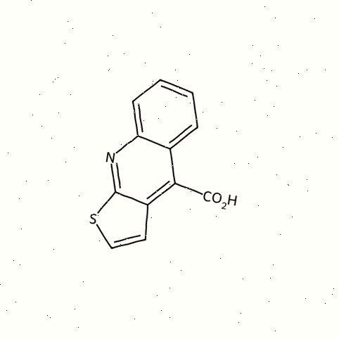 O=C(O)c1c2ccccc2nc2sccc12